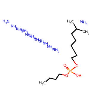 CCCCOP(=O)(O)OCCCCCC(C)C.N.N.N.N.N.N.N.N.N.N.N.N